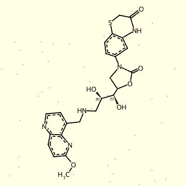 COc1ccc2nccc(CNC[C@@H](O)[C@H](O)C3CN(c4ccc5c(c4)NC(=O)CS5)C(=O)O3)c2n1